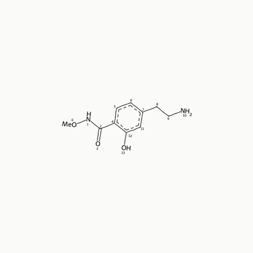 CONC(=O)c1ccc(CCN)cc1O